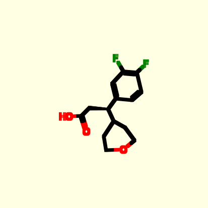 O=C(O)C[C@@H](c1ccc(F)c(F)c1)C1CCOCC1